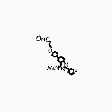 CNc1nc(-c2cccnc2)nc2ccc(-c3ccc(OCCCC=O)cc3)cc12